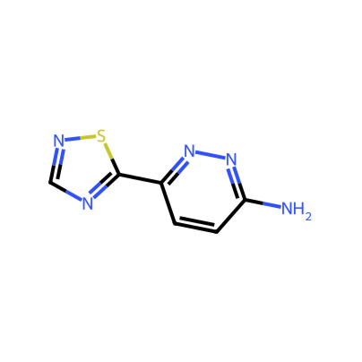 Nc1ccc(-c2ncns2)nn1